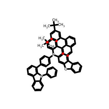 CC(C)(C)c1cc(-c2cccc3cccc(-c4ccccc4N(c4ccc(-c5cccc6c7ccccc7n(-c7ccccc7)c56)cc4)c4ccc5c(c4)oc4ccccc45)c23)cc(C(C)(C)C)c1